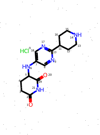 Cl.O=C1CCC(Nc2cnc(C3CCNCC3)nc2)C(=O)N1